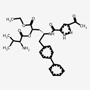 CCOC(=O)C(C[C@@H](Cc1ccc(-c2ccccc2)cc1)NC(=O)c1cc(C(C)=O)n[nH]1)OC(=O)[C@@H](N)C(C)C